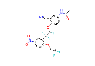 CC(=O)Nc1ccc(OC(F)C(F)(F)c2cc([N+](=O)[O-])ccc2OCC(F)(F)F)c(C#N)c1